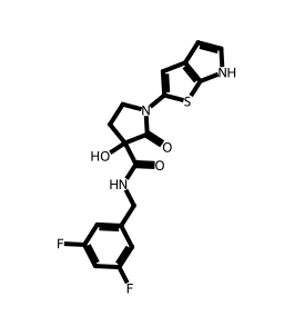 O=C(NCc1cc(F)cc(F)c1)C1(O)CCN(c2cc3cc[nH]c3s2)C1=O